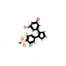 CS(=O)(=O)c1c(F)cc(C2=C(c3cc(Br)cc(Br)c3)C=CC2)cc1F